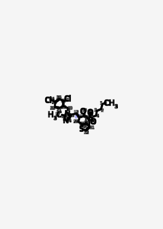 CCCCCS(=O)(=O)NC(=O)/C(=C/c1cnc(C)n1Cc1ccc(Cl)cc1Cl)Cc1cccs1